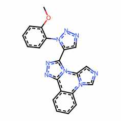 COc1ccccc1-n1nncc1-c1nnc2c3ccccc3n3cncc3n12